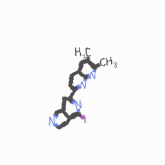 Cc1cc2ccc(-c3cc4cnccc4c(I)n3)nc2nc1C